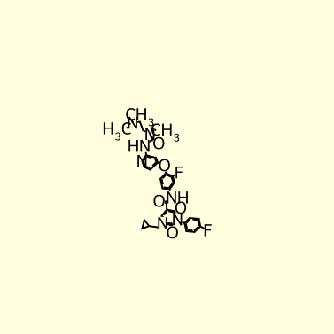 CN(C)CCN(C)C(=O)Nc1cc(Oc2ccc(NC(=O)c3cn(CC4CC4)c(=O)n(-c4ccc(F)cc4)c3=O)cc2F)ccn1